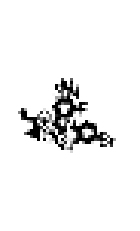 C=CCC1(S(=O)(=O)C2C(=O)N(c3ccc(Br)cc3Cl)c3c2cc2snnc2c3F)CC1